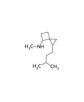 CNC1CCC12CC2CCC(C)C